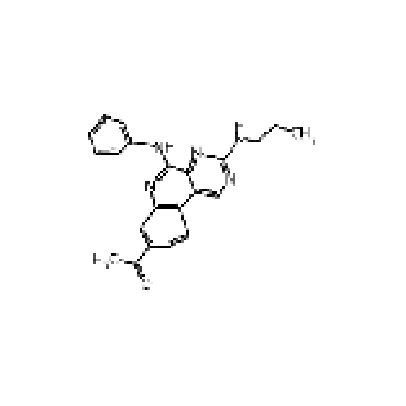 CCCNc1ncc2c(n1)c(Nc1ccccc1)nc1cc(C(C)=O)ccc12